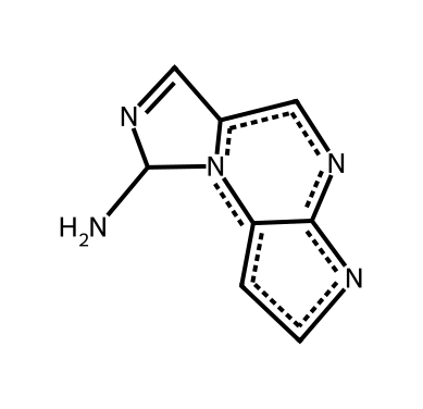 NC1N=Cc2cnc3nccc-3n21